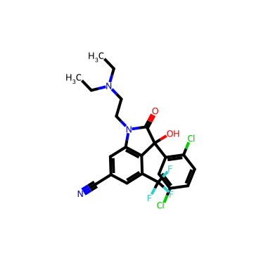 CCN(CC)CCN1C(=O)C(O)(c2cc(Cl)ccc2Cl)c2c1cc(C#N)cc2C(F)(F)F